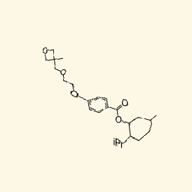 CC1CCC(C(C)C)C(OC(=O)c2ccc(OCCOCC3(C)COC3)cc2)C1